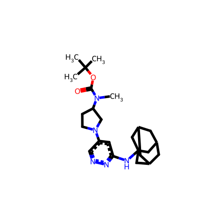 CN(C(=O)OC(C)(C)C)C1CCN(c2cnnc(NC34CC5CC(CC(C5)C3)C4)c2)C1